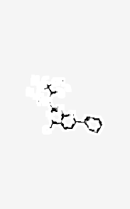 CC(C)(C)C(=O)Nc1nc(Cl)c2ccc(-c3ccccc3)nc2n1